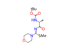 CSC(=NC(=O)[C@H](C)NC(=O)OC(C)(C)C)N1CCOCC1